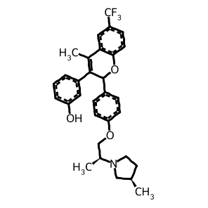 CC1=C(c2cccc(O)c2)C(c2ccc(OC[C@H](C)N3CC[C@@H](C)C3)cc2)Oc2ccc(C(F)(F)F)cc21